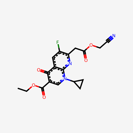 CCOC(=O)c1cn(C2CC2)c2nc(CC(=O)OCC#N)c(F)cc2c1=O